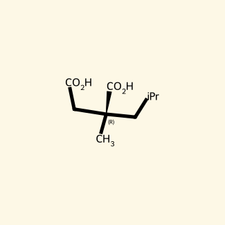 CC(C)C[C@](C)(CC(=O)O)C(=O)O